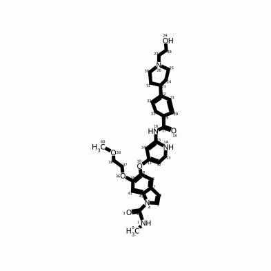 CNC(=O)n1ccc2cc(OC3=CCNC(NC(=O)C4C=CC(C5CCN(CCO)CC5)=CC4)=C3)c(OCCOC)cc21